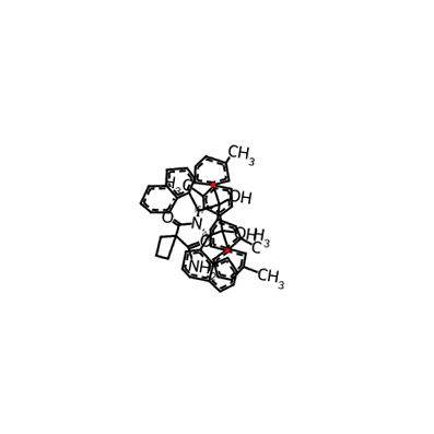 Cc1cccc(C(O)(c2cccc(C)c2)[C@H](c2cccc3ccccc23)N(C(=O)C2(C(N)=O)CCC2)[C@@H](c2cccc3ccccc23)C(O)(c2cccc(C)c2)c2cccc(C)c2)c1